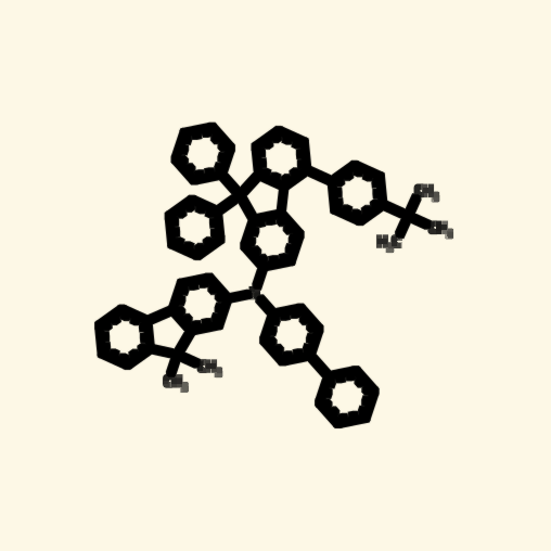 CC(C)(C)c1ccc(-c2cccc3c2-c2ccc(N(c4ccc(-c5ccccc5)cc4)c4ccc5c(c4)C(C)(C)c4ccccc4-5)cc2C3(c2ccccc2)c2ccccc2)cc1